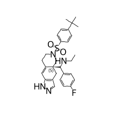 CCNC(c1ccc(F)cc1)[C@@]12Cc3cn[nH]c3C=C1CCN(S(=O)(=O)c1ccc(C(C)(C)C)cc1)C2